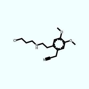 COc1cc(CC#N)c(CCNCCCCl)cc1OC